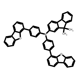 CC1(C)c2ccccc2-c2ccc(N(c3ccc(-c4cccc5c4oc4ccccc45)cc3)c3ccc(-c4cccc5c4oc4ccccc45)cc3)cc21